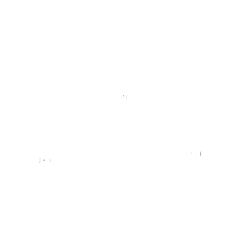 CCCC[CH2][Sn]1([CH2]CCCC)[CH2][CH2]1